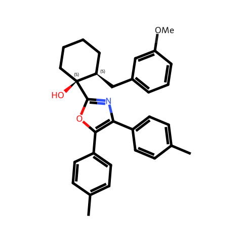 COc1cccc(C[C@@H]2CCCC[C@@]2(O)c2nc(-c3ccc(C)cc3)c(-c3ccc(C)cc3)o2)c1